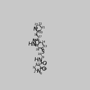 Cn1cccc(C(=O)NCCSc2ccc3c(C=Cc4ccccn4)n[nH]c3c2)c1=O